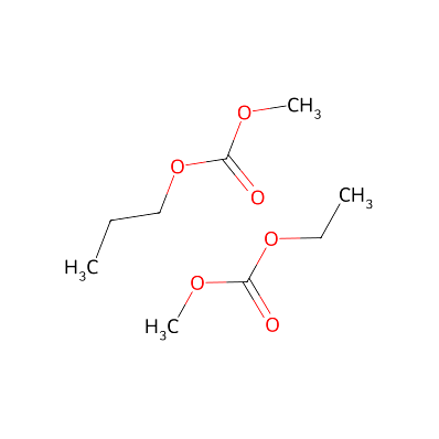 CCCOC(=O)OC.CCOC(=O)OC